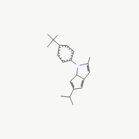 CC1=CC2=[C]C(C(C)C)=CC2N1c1ccc(C(C)(C)C)cc1